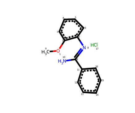 COc1ccccc1N=C(N)c1ccccc1.Cl